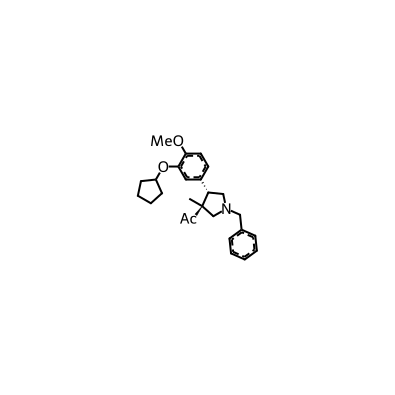 COc1ccc([C@@H]2CN(Cc3ccccc3)C[C@@]2(C)C(C)=O)cc1OC1CCCC1